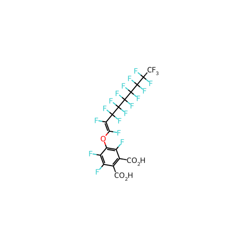 O=C(O)c1c(F)c(F)c(OC(F)=C(F)C(F)(F)C(F)(F)C(F)(F)C(F)(F)C(F)(F)C(F)(F)C(F)(F)F)c(F)c1C(=O)O